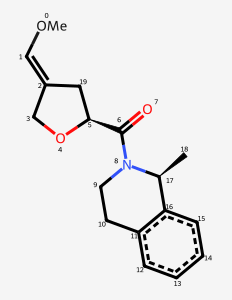 CO/C=C1/CO[C@H](C(=O)N2CCc3ccccc3[C@@H]2C)C1